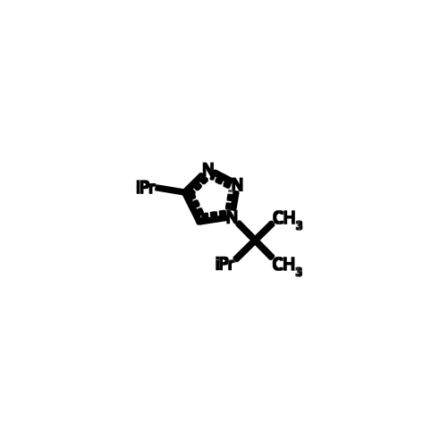 CC(C)c1cn(C(C)(C)C(C)C)nn1